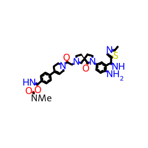 CNC(=O)OC(=N)c1ccc(C2=CCN(C(=O)CN3CC[C@]4(CCN(c5ccc(N)c(C(=N)c6cnc(C)s6)c5)C4=O)C3)CC2)cc1